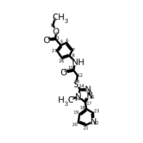 CCOC(=O)c1ccc(NC(=O)CSc2nnc(-c3cccnc3)n2C)cc1